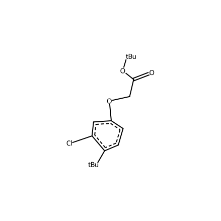 CC(C)(C)OC(=O)COc1ccc(C(C)(C)C)c(Cl)c1